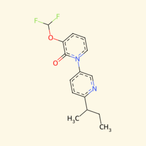 CCC(C)c1ccc(-n2cccc(OC(F)F)c2=O)cn1